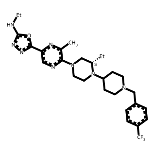 CCNc1nnc(-c2cnc(N3CCN(C4CCN(Cc5ccc(C(F)(F)F)cc5)CC4)[C@@H](CC)C3)c(C)n2)o1